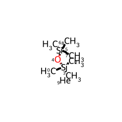 C[Si](C)(C)O[Si](C)(C)C.[He]